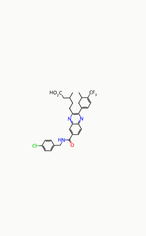 CC(CCc1nc2cc(C(=O)NCc3ccc(Cl)cc3)ccc2nc1C1=CC=C(C(F)(F)F)C(C)C1)CC(=O)O